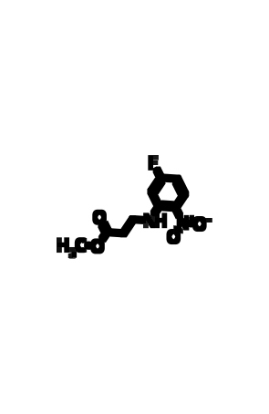 COC(=O)CCNc1cc(F)ccc1[N+](=O)[O-]